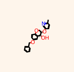 Cc1ccc(O[C@H]2COc3ccc(OCc4ccccc4)cc3[C@H]2O)cn1